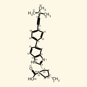 C[C@H]1C[C@@H](c2nc3cc(-c4ccc(C#C[Si](C)(C)C)cc4)ccc3[nH]2)N(C(=O)O)C1